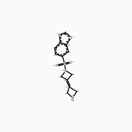 O=S(=O)(c1ccc2ncsc2c1)N1CC(=C2CNC2)C1